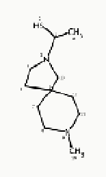 CC(S)N1CCC2(CCN(C)CC2)C1